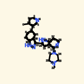 Cc1ccncc1-c1ccc2[nH]nc(-c3cc4c(N5CCN(C)CC5)nccc4[nH]3)c2c1